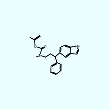 C=C(C)OC(=O)N(C)CCC(c1ccccc1)c1ccc2[nH]ccc2c1